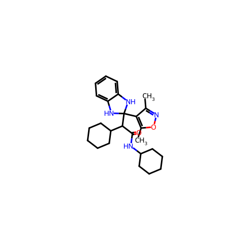 Cc1noc(C)c1C1(C(C(=O)NC2CCCCC2)C2CCCCC2)Nc2ccccc2N1